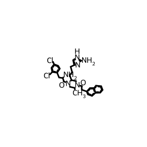 CC1CN(C(=O)C(N)Cc2ccc(Cl)cc2Cl)C(CCCc2c[nH]c(N)n2)CN1C(=O)Cc1ccc2ccccc2c1